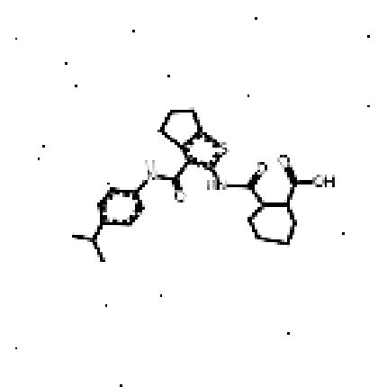 CC(C)c1ccc(NC(=O)c2c(NC(=O)C3CCCCC3C(=O)O)sc3c2CCC3)cc1